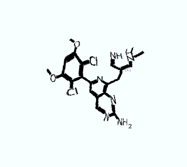 CN/C=C(\C=N)Cc1nc(-c2c(Cl)c(OC)cc(OC)c2Cl)cc2cnc(N)nc12